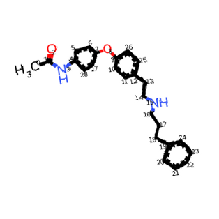 CC(=O)Nc1ccc(Oc2ccc(CCNCCCc3ccccc3)cc2)cc1